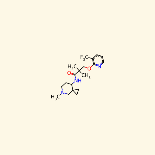 CN1CCC(NC(=O)C(C)(C)COc2ncccc2C(F)(F)F)C2(CC2)C1